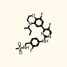 CCC(C)N1CCOc2c(F)cc(-c3nc(Nc4ccc(CNS(C)(=O)=O)c(F)c4)ncc3F)cc21